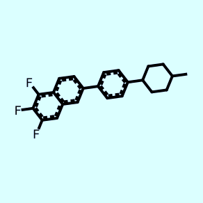 CC1CCC(c2ccc(-c3ccc4c(F)c(F)c(F)cc4c3)cc2)CC1